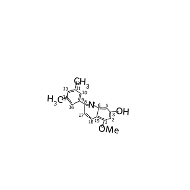 COc1cc(O)cc2nc(-c3cc(C)cc(C)c3)ccc12